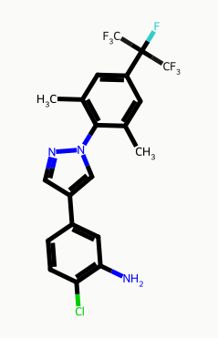 Cc1cc(C(F)(C(F)(F)F)C(F)(F)F)cc(C)c1-n1cc(-c2ccc(Cl)c(N)c2)cn1